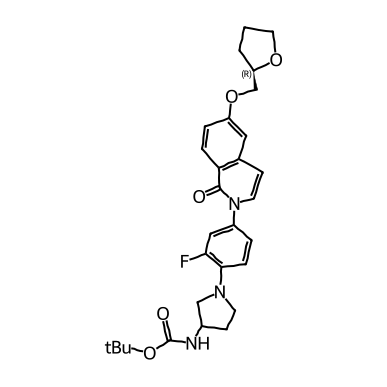 CC(C)(C)OC(=O)NC1CCN(c2ccc(-n3ccc4cc(OC[C@H]5CCCO5)ccc4c3=O)cc2F)C1